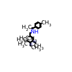 C=C(NCC(C)CC(=C/C)/C(=C\C)C(C)(C)C)c1ccc(C)cc1